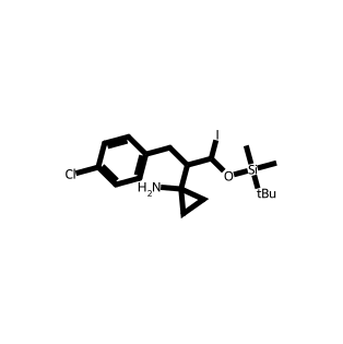 CC(C)(C)[Si](C)(C)OC(I)C(Cc1ccc(Cl)cc1)C1(N)CC1